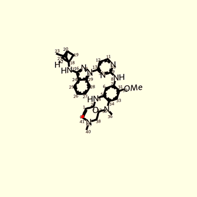 C=CC(=O)Nc1cc(Nc2nccc(-n3nc(NC45CC(C4)[C@@H]5C)c4ccccc43)n2)c(OC)cc1N(C)CCN(C)C